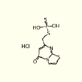 Cl.O=c1cc(CSP(O)(O)=S)nc2sccn12